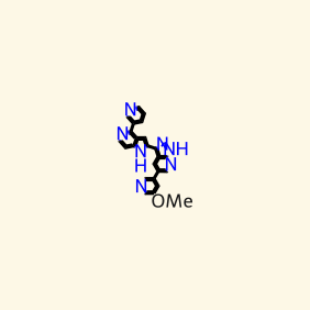 COc1cncc(-c2cnc3[nH]nc(-c4cc5c(-c6cccnc6)nccc5[nH]4)c3c2)c1